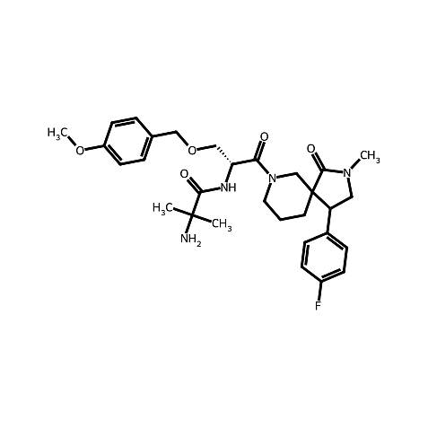 COc1ccc(COC[C@@H](NC(=O)C(C)(C)N)C(=O)N2CCCC3(C2)C(=O)N(C)CC3c2ccc(F)cc2)cc1